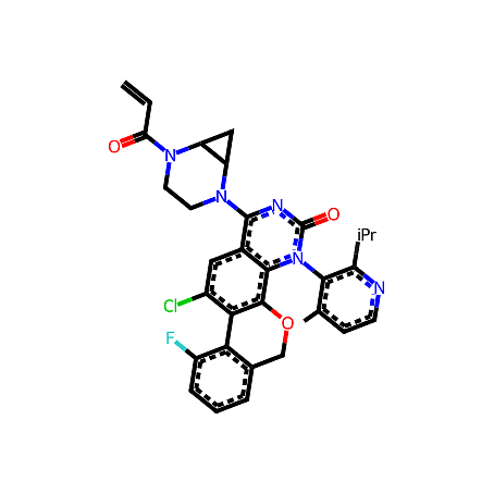 C=CC(=O)N1CCN(c2nc(=O)n(-c3c(C)ccnc3C(C)C)c3c4c(c(Cl)cc23)-c2c(F)cccc2CO4)C2CC21